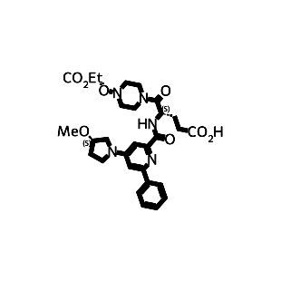 CCOC(=O)ON1CCN(C(=O)[C@H](CCC(=O)O)NC(=O)c2cc(N3CC[C@H](OC)C3)cc(-c3ccccc3)n2)CC1